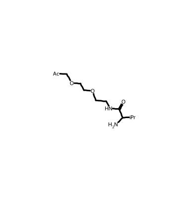 CC(=O)COCCOCCNC(=O)C(N)C(C)C